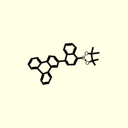 CC1(C)OB(c2ccc(-c3ccc4c5ccccc5c5ccccc5c4c3)c3ccccc23)OC1(C)C